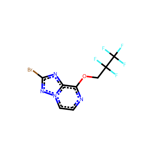 FC(F)(F)C(F)(F)COc1nccn2nc(Br)nc12